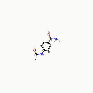 CC(=O)Nc1ccc(C(N)=O)cc1